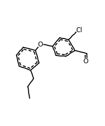 CCCc1cccc(Oc2ccc(C=O)c(Cl)c2)c1